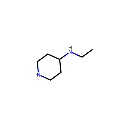 CCNC1CC[N]CC1